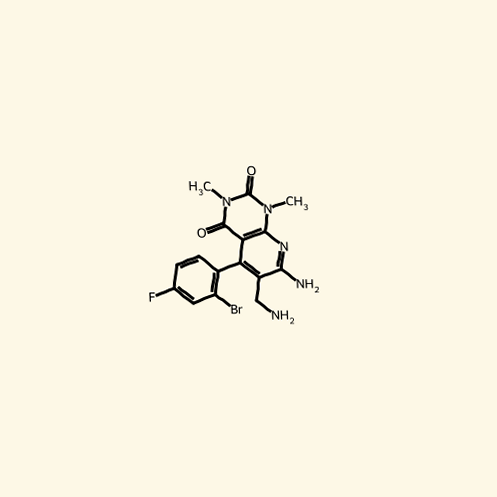 Cn1c(=O)c2c(-c3ccc(F)cc3Br)c(CN)c(N)nc2n(C)c1=O